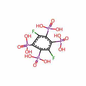 O=P(O)(O)c1c(F)c(P(=O)(O)O)c(P(=O)(O)O)c(F)c1P(=O)(O)O